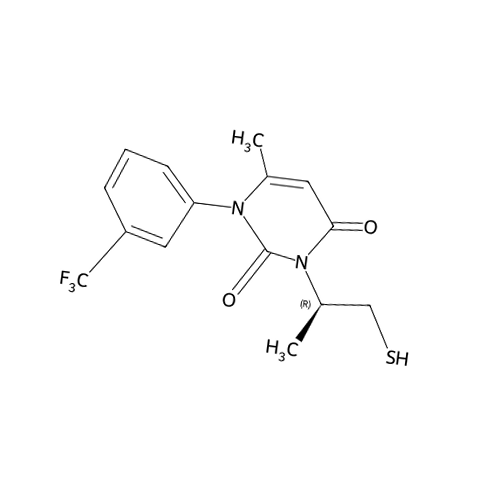 Cc1cc(=O)n([C@H](C)CS)c(=O)n1-c1cccc(C(F)(F)F)c1